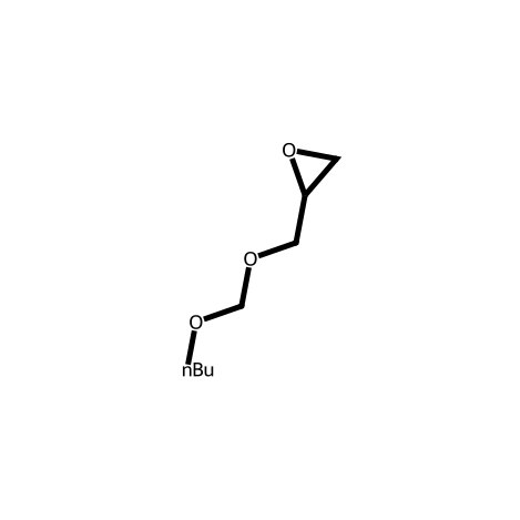 CCCCOCOCC1CO1